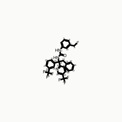 O=C(Nc1cccc(CI)c1)NC(Cc1ccccc1)(c1cccc(C(F)(F)F)c1)c1ccc(C(F)(F)F)cn1